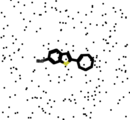 COc1ccc2cc(C3=CCCCCC3)sc2c1